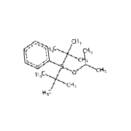 CC(C)O[Si](c1ccccc1)(C(C)(C)C)C(C)(C)C